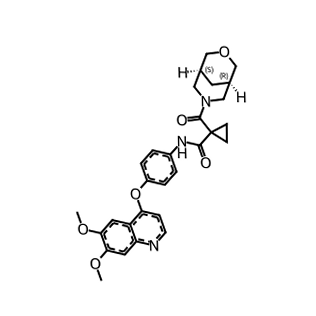 COc1cc2nccc(Oc3ccc(NC(=O)C4(C(=O)N5C[C@@H]6COC[C@@H](C6)C5)CC4)cc3)c2cc1OC